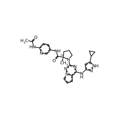 CC(=O)Nc1ccc(NC(=O)[C@]2(C)CCCN2c2nc(Nc3cc(C4CC4)[nH]n3)c3cccn3n2)cn1